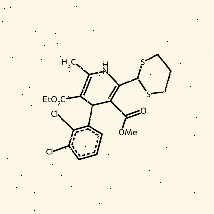 CCOC(=O)C1=C(C)NC(C2SCCCS2)=C(C(=O)OC)C1c1cccc(Cl)c1Cl